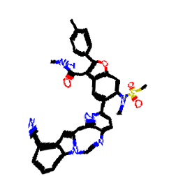 CNC(=O)c1c(-c2ccc(C)cc2)oc2cc(N(C)S(C)(=O)=O)c(-c3ccc4ncn5c6cccc(C#N)c6cc5c4n3)cc12